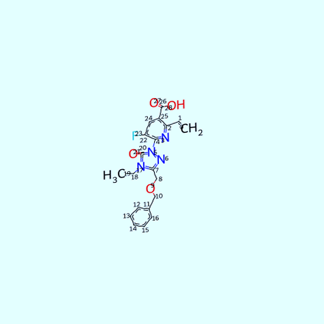 C=Cc1nc(-n2nc(COCc3ccccc3)n(CC)c2=O)c(F)cc1C(=O)O